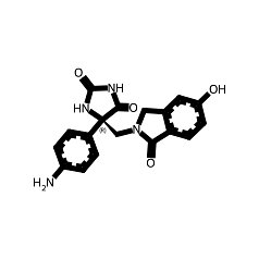 Nc1ccc([C@]2(CN3Cc4cc(O)ccc4C3=O)NC(=O)NC2=O)cc1